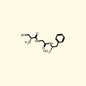 CC(C)C[C@H](N)C(=O)NCC(=O)N[C@@H](Cc1ccccc1)C(=O)O